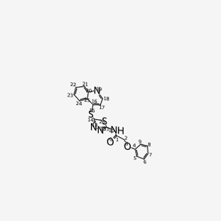 O=C(COc1ccccc1)Nc1nnc(Sc2ccnc3ccccc23)s1